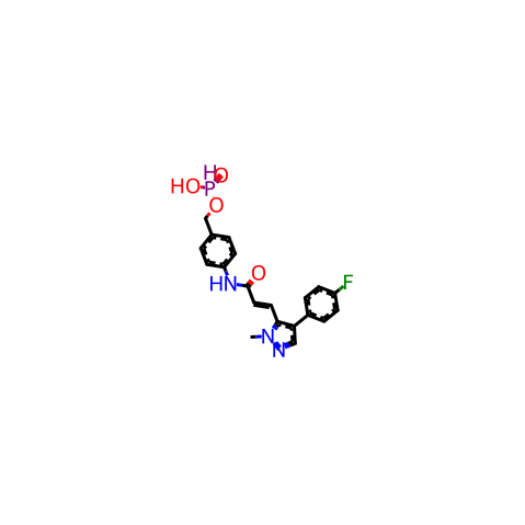 Cn1ncc(-c2ccc(F)cc2)c1C=CC(=O)Nc1ccc(CO[PH](=O)O)cc1